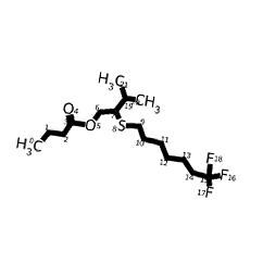 CCCC(=O)OCC(SCCCCCCC(F)(F)F)C(C)C